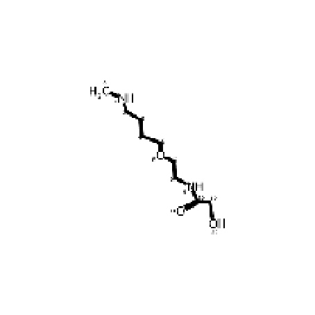 CNCCCCOCCNC(=O)CO